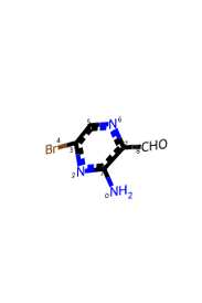 Nc1nc(Br)cnc1C=O